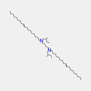 CCCCCCCC/C=C/CCCCCCCCN(CCCCN(CCCCCCCC/C=C/CCCCCCCC)CC(C)CC)CC(C)CC